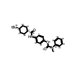 CN(C(=O)Oc1ccc(NC(=O)[C@H]2CC[C@H](C(C)(C)C)CC2)cc1)c1ccccc1